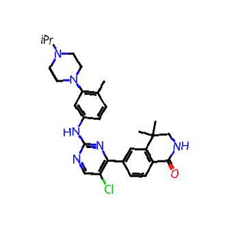 Cc1ccc(Nc2ncc(Cl)c(-c3ccc4c(c3)C(C)(C)CNC4=O)n2)cc1N1CCN(C(C)C)CC1